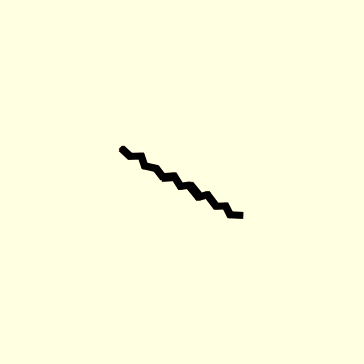 CCCCCC=CCC=CCCCCC